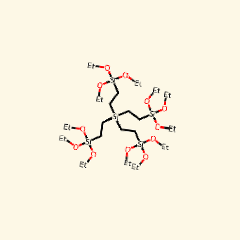 CCO[Si](CC[Si](CC[Si](OCC)(OCC)OCC)(CC[Si](OCC)(OCC)OCC)CC[Si](OCC)(OCC)OCC)(OCC)OCC